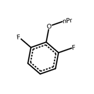 [CH2]CCOc1c(F)cccc1F